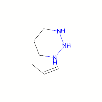 C1CNNNC1.C=CC